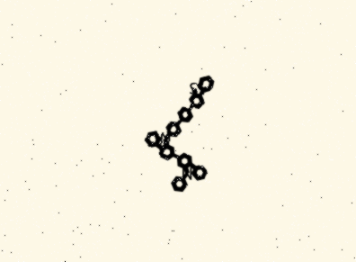 c1ccc(-n2c3ccccc3c3ccc(-c4ccc5c6ccccc6n(-c6ccc(-c7ccc(-c8ccc9c(c8)sc8ccccc89)cc7)cc6)c5c4)cc32)cc1